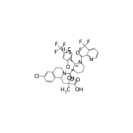 CCC[C@H]1N(C(=O)c2ncccc2C(F)(F)F)CCC[C@@]1(Oc1csc(C(F)(F)F)c1)C(=O)N1CCc2cc(Cl)ccc2C1CC(C)(C)C(=O)O